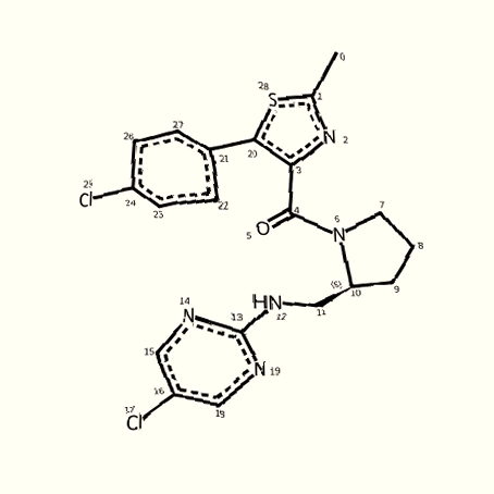 Cc1nc(C(=O)N2CCC[C@H]2CNc2ncc(Cl)cn2)c(-c2ccc(Cl)cc2)s1